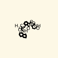 CN(Cc1cccc2c1C(=O)N(C1CCC(=O)NC1=O)C2=O)C(=O)Nc1cccc2ccccc12